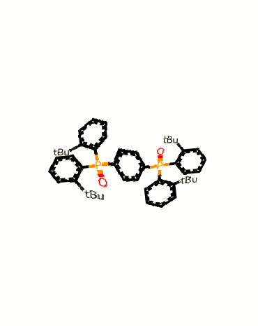 CC(C)(C)c1ccccc1P(=O)(c1ccc(P(=O)(c2ccccc2C(C)(C)C)c2ccccc2C(C)(C)C)cc1)c1ccccc1C(C)(C)C